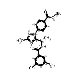 Cc1nc([C@H](C)NC(=O)c2cc(Cl)cc(C(F)(F)F)c2)n(-c2ccc(C(=O)OC(C)(C)C)cn2)n1